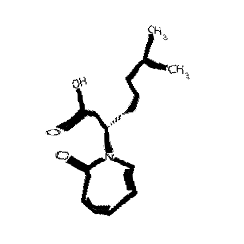 CC(C)CC[C@@H](C(=O)O)n1ccccc1=O